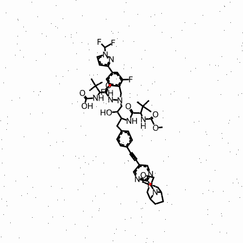 COC(=O)NC(C(=O)NC(Cc1ccc(C#Cc2cnc(N3CC4CCC(C3)N4C3COC3)nc2)cc1)C(O)CN(Cc1c(F)cc(-c2ccn(C(F)F)n2)cc1F)NC(=O)C(NC(=O)O)C(C)(C)C)C(C)(C)C